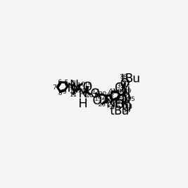 Cc1nn(-c2ccccc2)c(C)c1NC(=O)COC(=O)Cc1c(C)[nH]c2cc(/C(=N\C(=O)OC(C)(C)C)N(C)C(=O)OC(C)(C)C)ccc12